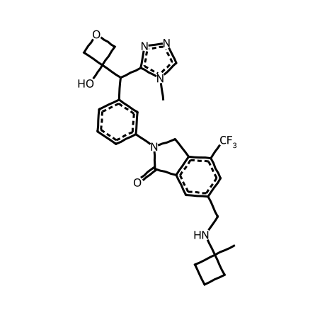 Cn1cnnc1C(c1cccc(N2Cc3c(cc(CNC4(C)CCC4)cc3C(F)(F)F)C2=O)c1)C1(O)COC1